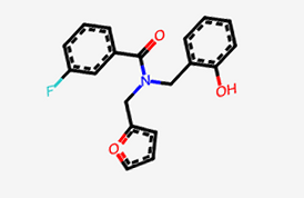 O=C(c1cccc(F)c1)N(Cc1ccco1)Cc1ccccc1O